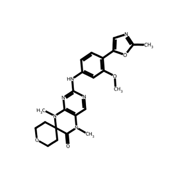 COc1cc(Nc2ncc3c(n2)N(C)C2(CCOCC2)C(=O)N3C)ccc1-c1cnc(C)o1